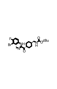 CC(C)(C)OC(=O)NC[C@H]1CC[C@H](C(=O)/C(=N/I)Nc2ccc(F)c(Br)c2)CC1